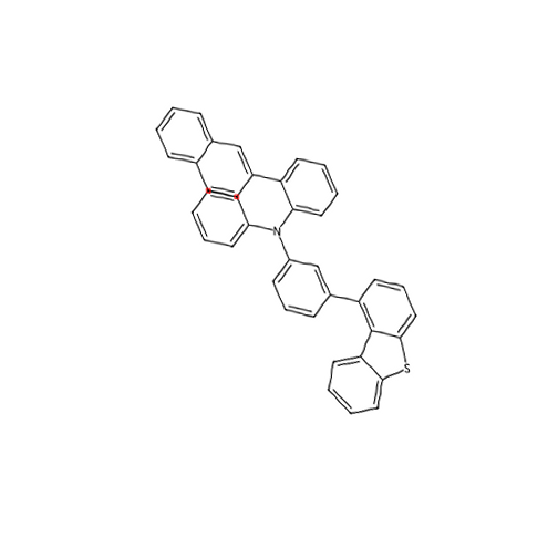 c1ccc(N(c2cccc(-c3cccc4sc5ccccc5c34)c2)c2ccccc2-c2ccc3ccccc3c2)cc1